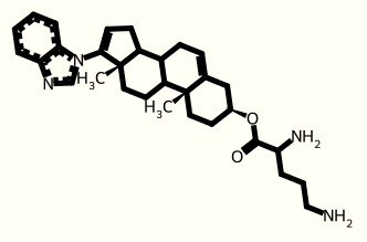 C[C@]12CC[C@H](OC(=O)C(N)CCCN)CC1=CCC1C2CC[C@]2(C)C(n3cnc4ccccc43)=CCC12